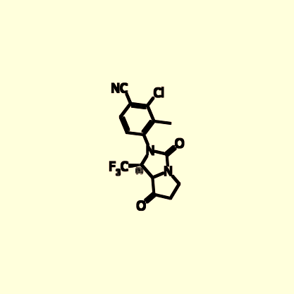 Cc1c(N2C(=O)N3CCC(=O)C3[C@H]2C(F)(F)F)ccc(C#N)c1Cl